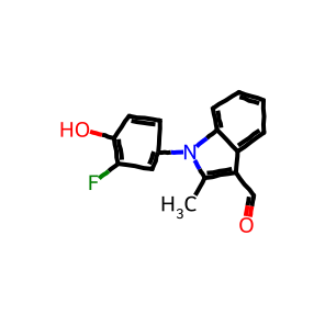 Cc1c(C=O)c2ccccc2n1-c1ccc(O)c(F)c1